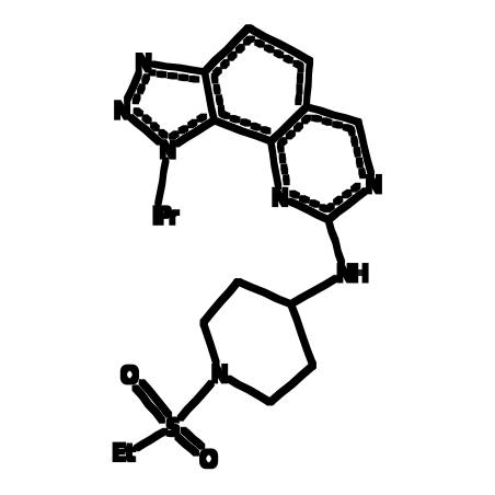 CCS(=O)(=O)N1CCC(Nc2ncc3ccc4nnn(C(C)C)c4c3n2)CC1